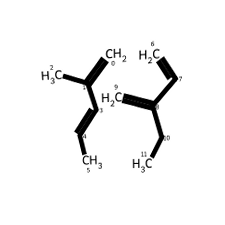 C=C(C)C=CC.C=CC(=C)CC